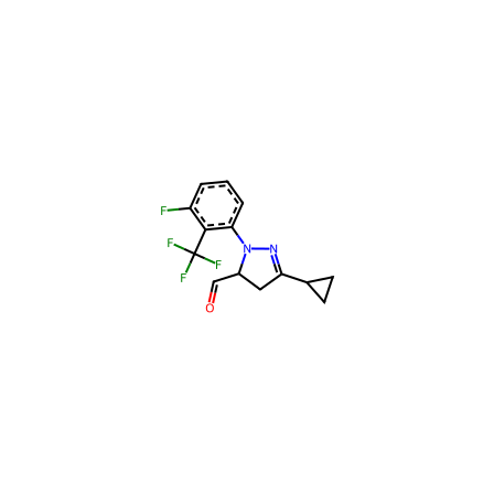 O=CC1CC(C2CC2)=NN1c1cccc(F)c1C(F)(F)F